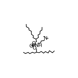 CCCCCCCCC(CCCCCC)COP(=O)(NCCCCN(C)C)OCC(CCCCCC)CCCCCCCC